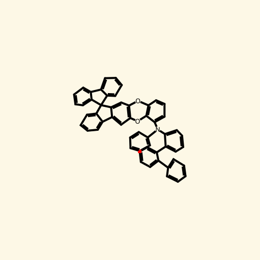 c1ccc(-c2ccccc2-c2ccccc2N(c2ccccc2)c2cccc3c2Oc2cc4c(cc2O3)C2(c3ccccc3-c3ccccc32)c2ccccc2-4)cc1